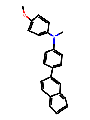 COc1ccc(N(C)c2ccc(-c3ccc4ccccc4c3)cc2)cc1